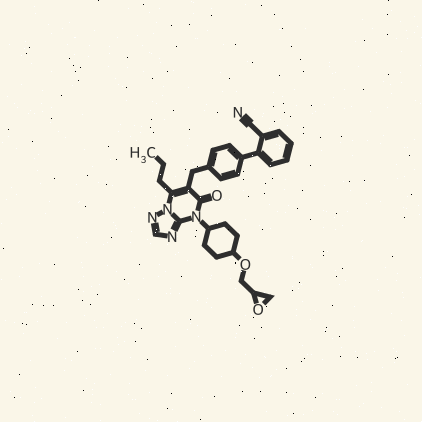 CCCc1c(Cc2ccc(-c3ccccc3C#N)cc2)c(=O)n(C2CCC(OCC3CO3)CC2)c2ncnn12